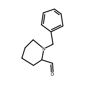 O=CC1CCCCN1Cc1ccccc1